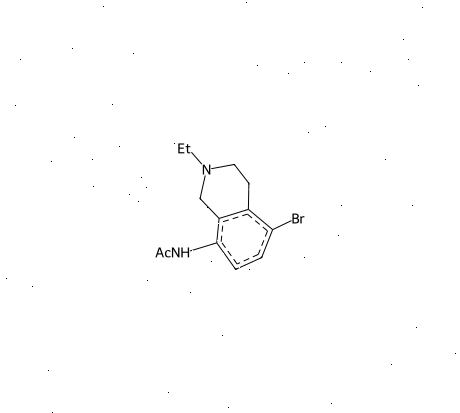 CCN1CCc2c(Br)ccc(NC(C)=O)c2C1